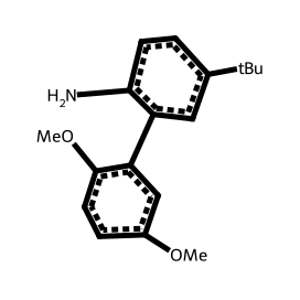 COc1ccc(OC)c(-c2cc(C(C)(C)C)ccc2N)c1